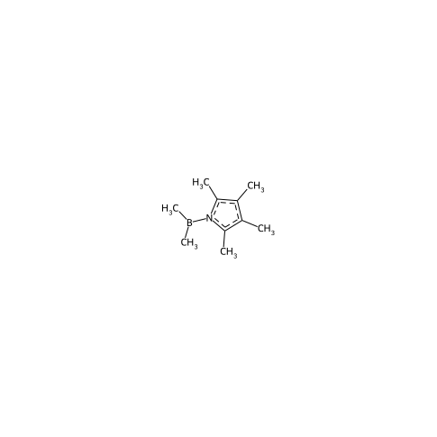 CB(C)n1c(C)c(C)c(C)c1C